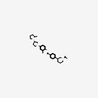 CC(=O)N1CCCC(c2ccc(C(=O)Nc3ccc(N4CCC(N5CCCC5C)C4)cc3C)cc2)C1